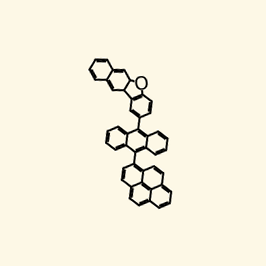 C1=c2ccccc2=CC2c3cc(-c4c5ccccc5c(-c5ccc6ccc7cccc8ccc5c6c78)c5ccccc45)ccc3OC12